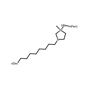 CCCCCCCCCCCCCCCCCCN1CC[N+](C)(NCCCCC)C1